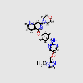 Cn1ccnc1COc1cnc(N[C@H]2CC[C@@H](Oc3nc(N4CCOCC4)cc4ncccc34)CC2)nc1